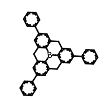 c1ccc(-c2cc3c4c(c2)Cc2cc(-c5ccccc5)cc5c2B4c2c(cc(-c4ccccc4)cc2C5)C3)cc1